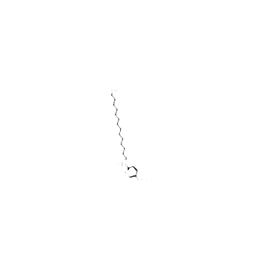 CCCCCCCCCCCCCCCCCCCCCCCCNc1ccc([N+](=O)[O-])cn1